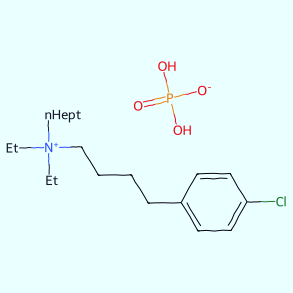 CCCCCCC[N+](CC)(CC)CCCCc1ccc(Cl)cc1.O=P([O-])(O)O